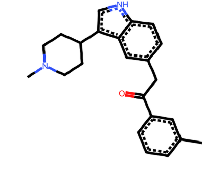 Cc1cccc(C(=O)Cc2ccc3[nH]cc(C4CCN(C)CC4)c3c2)c1